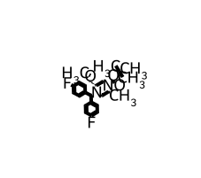 COC[C@@H]1CN(C(=O)OC(C)(C)C)[C@@H](C)CN1C(c1ccc(F)cc1)c1ccc(F)cc1